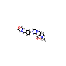 CN1CCC(CN2CCN(c3ccc(CN4CCOCC4)cc3)CC2)C1CO